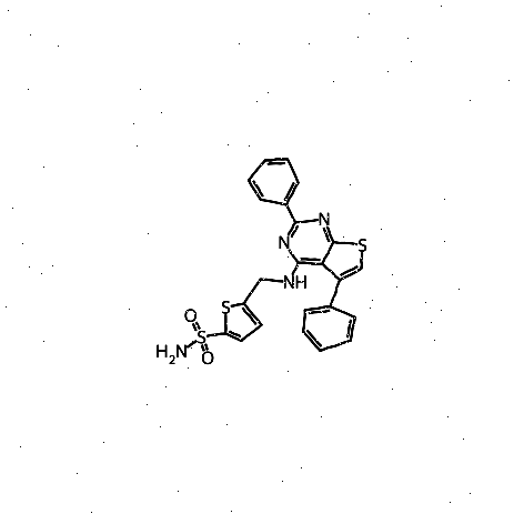 NS(=O)(=O)c1ccc(CNc2nc(-c3ccccc3)nc3scc(-c4ccccc4)c23)s1